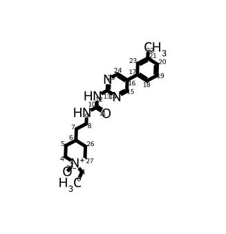 CC[N+]1([O-])CCC(CCNC(=O)Nc2ncc(-c3cccc(C)c3)cn2)CC1